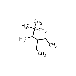 [CH2]C(C)(C)C(C)C(CC)CC